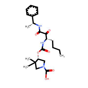 CCCC[C@H](NC(=O)O[C@@H]1CN(C(=O)O)CC1(C)C)C(=O)C(=O)N[C@H](C)c1ccccc1